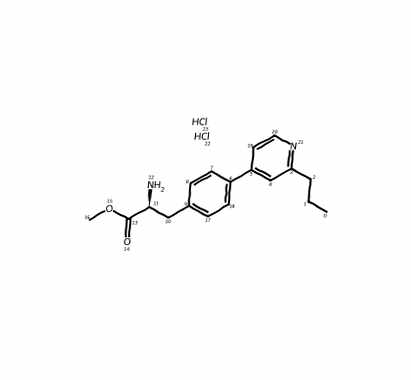 CCCc1cc(-c2ccc(C[C@H](N)C(=O)OC)cc2)ccn1.Cl.Cl